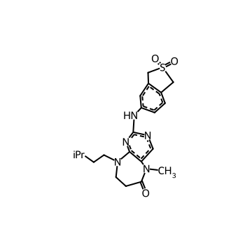 CC(C)CCN1CCC(=O)N(C)c2cnc(Nc3ccc4c(c3)CS(=O)(=O)C4)nc21